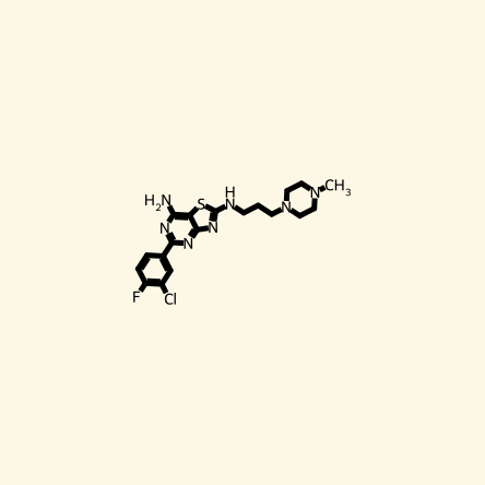 CN1CCN(CCCNc2nc3nc(-c4ccc(F)c(Cl)c4)nc(N)c3s2)CC1